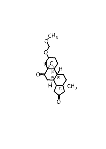 COCOC1CC[C@]2(C)C(C1)C(=O)C[C@@H]1C3CC(=O)C[C@]3(C)CC[C@H]12